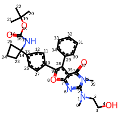 CN(CCO)c1nc2oc(-c3ccc(C4(NC(=O)OC(C)(C)C)CCC4)cc3)c(-c3ccccc3)c2c(=O)n1C